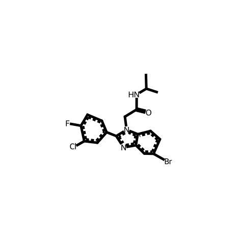 CC(C)NC(=O)Cn1c(-c2ccc(F)c(Cl)c2)nc2cc(Br)ccc21